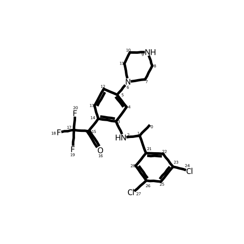 CC(Nc1cc(N2CCNCC2)ccc1C(=O)C(F)(F)F)c1cc(Cl)cc(Cl)c1